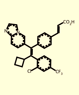 O=C(O)/C=C/c1ccc(/C(=C(\c2ccc(C(F)(F)F)cc2Cl)C2CCC2)c2ccc3nccn3c2)cc1